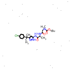 C[C@H](NC(=O)CN(C)C(=O)OC(C)(C)C)C(=O)Nc1cc(C(C)(C)c2ccc(Cl)cc2)n[nH]1